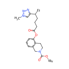 CCC(CCCC(=O)Oc1cccc2c1CCN(C(=O)OC(C)(C)C)C2)c1cn(C)nn1